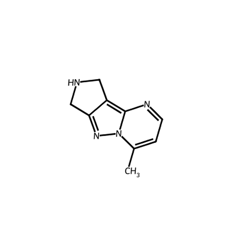 Cc1ccnc2c3c(nn12)CNC3